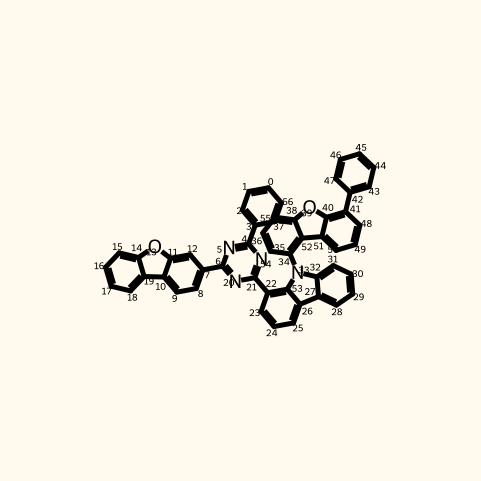 c1ccc(-c2nc(-c3ccc4c(c3)oc3ccccc34)nc(-c3cccc4c5ccccc5n(-c5cccc6oc7c(-c8ccccc8)cccc7c56)c34)n2)cc1